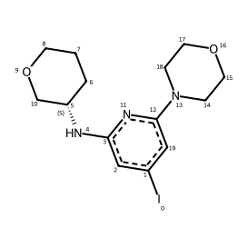 Ic1cc(N[C@H]2CCCOC2)nc(N2CCOCC2)c1